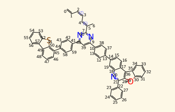 C=C/C=C\C=C(/C)c1nc(-c2ccc(-c3ccc4c(c3)nc(-c3ccccc3)c3oc5ccccc5c34)cc2)cc(-c2ccc(-c3cccc4c3sc3ccccc34)cc2)n1